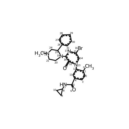 Cc1ccc(C(=O)NC2CC2)cc1-n1cc(Br)nc(N2CCN(C)CC2c2ccccc2)c1=O